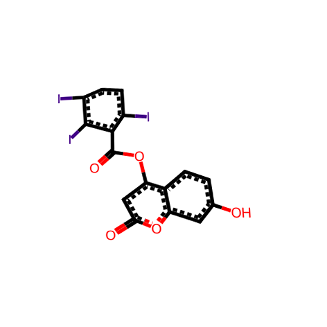 O=C(Oc1cc(=O)oc2cc(O)ccc12)c1c(I)ccc(I)c1I